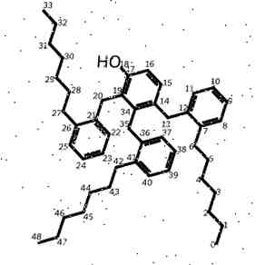 CCCCCCCc1ccccc1Cc1ccc(O)c(Cc2ccccc2CCCCCCC)c1Cc1ccccc1CCCCCCC